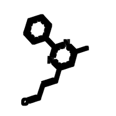 Cc1cc(/C=C/C=O)nc(-c2ccccc2)n1